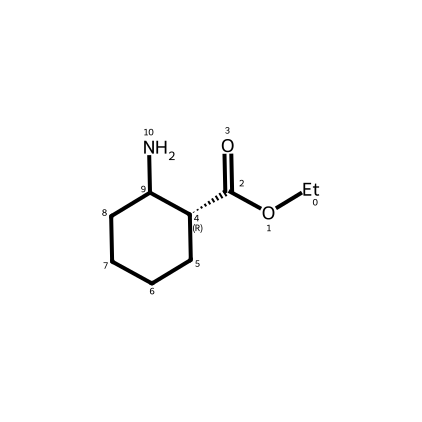 CCOC(=O)[C@@H]1CCCCC1N